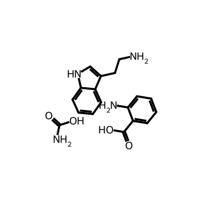 NC(=O)O.NCCc1c[nH]c2ccccc12.Nc1ccccc1C(=O)O